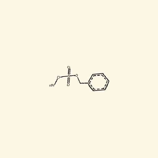 CCCOS(=O)(=O)OCc1ccccc1